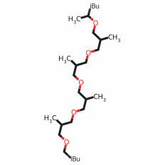 CCC(C)COCC(C)COCC(C)COCC(C)COCC(C)COC(C)C(C)CC